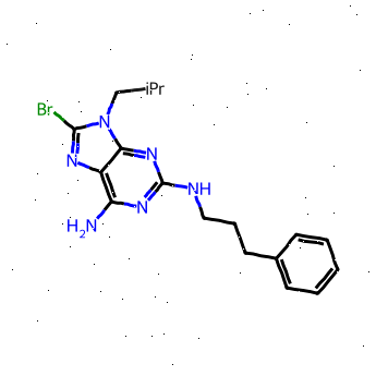 CC(C)Cn1c(Br)nc2c(N)nc(NCCCc3ccccc3)nc21